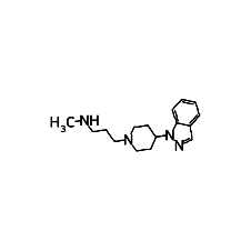 CNCCCN1CCC(n2ncc3ccccc32)CC1